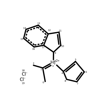 C[C](C)=[Hf+2]([C]1=CC=CC1)[CH]1C=Cc2ccccc21.[Cl-].[Cl-]